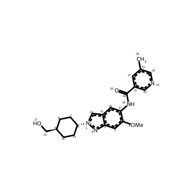 COc1cc2nn([C@H]3CC[C@H](CO)CC3)cc2cc1NC(=O)c1cncc(C)c1